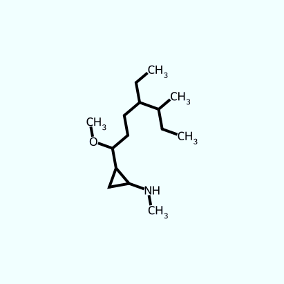 CCC(C)C(CC)CCC(OC)C1CC1NC